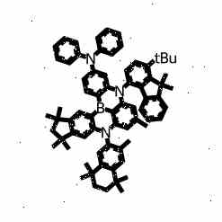 Cc1cc2c3c(c1)N(c1ccc(C(C)(C)C)c4c1-c1ccccc1C4(C)C)c1cc(N(c4ccccc4)c4ccccc4)ccc1B3c1cc3c(cc1N2c1cc2c(cc1C)C(C)(C)CCC2(C)C)C(C)(C)CC3(C)C